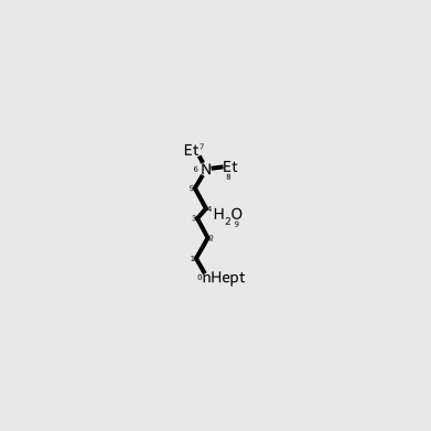 CCCCCCCCCCCCN(CC)CC.O